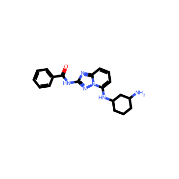 NC1CCCC(Nc2cccc3nc(NC(=O)c4ccccc4)nn23)C1